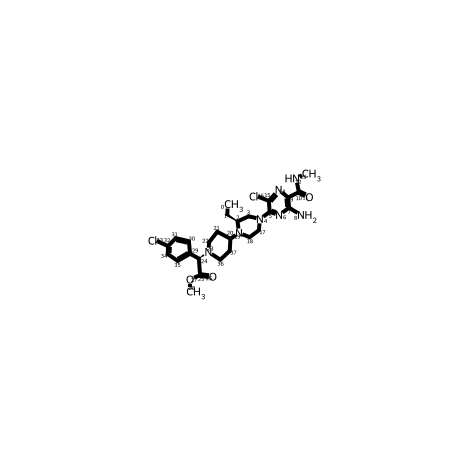 CC[C@H]1CN(c2nc(N)c(C(=O)NC)nc2Cl)CCN1C1CCN([C@H](C(=O)OC)c2ccc(Cl)cc2)CC1